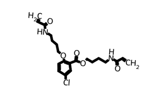 C=CC(=O)NCCCCOC(=O)c1cc(Cl)ccc1OCCCCNC(=O)C=C